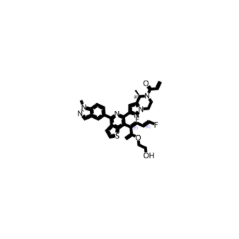 C=CC(=O)N1CCn2nc(-c3nc(-c4ccc5c(cnn5C)c4)c4ccsc4c3/C(C(=C)OCCO)=C(F)/C=C/F)cc2[C@H]1C